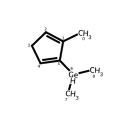 CC1=[C]CC=[C]1[GeH]([CH3])[CH3]